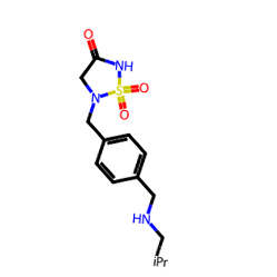 CC(C)CNCc1ccc(CN2CC(=O)NS2(=O)=O)cc1